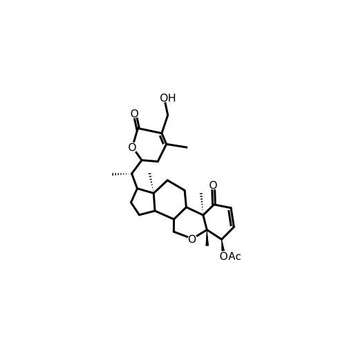 CC(=O)O[C@@H]1C=CC(=O)[C@]2(C)C3CC[C@@]4(C)C(CCC4[C@H](C)C4CC(C)=C(CO)C(=O)O4)C3CO[C@@]12C